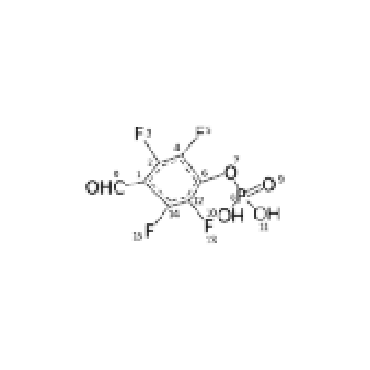 O=Cc1c(F)c(F)c(OP(=O)(O)O)c(F)c1F